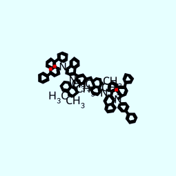 CC1(C)CCC(C)(C)C2=C(n3c4ccc(CC5(C)CCC(C)(C)c6c(-n7c8ccccc8c8c(N(c9ccc(-c%10ccccc%10)cc9)c9ccc(-c%10ccccc%10)cc9)c9ccccc9cc87)cccc65)cc4c4c5ccccc5c(N(c5ccc(-c6ccccc6)cc5)c5ccccc5-c5ccccc5)cc43)CCC=C21